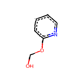 OCOc1c[c]ccn1